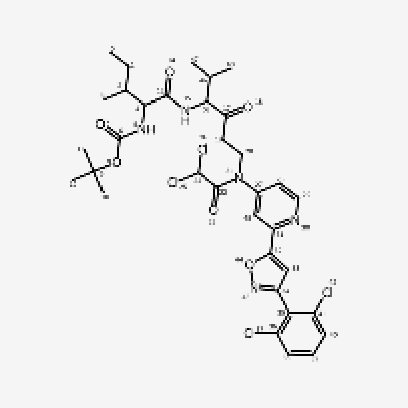 CCC(C)C(NC(=O)OC(C)(C)C)C(=O)NC(C(=O)CCN(C(=O)C(Cl)Cl)c1ccnc(-c2cc(-c3c(Cl)cccc3Cl)no2)c1)C(C)C